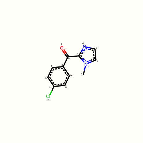 Cn1ccnc1C(=O)c1ccc(Cl)cc1